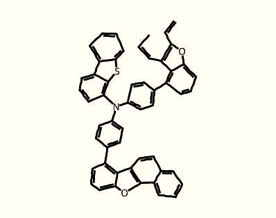 C=Cc1oc2cccc(-c3ccc(N(c4ccc(-c5cccc6oc7c8ccccc8ccc7c56)cc4)c4cccc5c4sc4ccccc45)cc3)c2c1/C=C\C